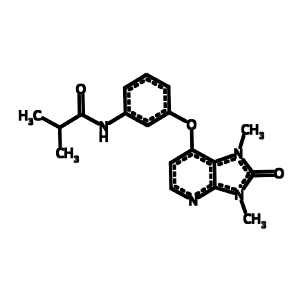 CC(C)C(=O)Nc1cccc(Oc2ccnc3c2n(C)c(=O)n3C)c1